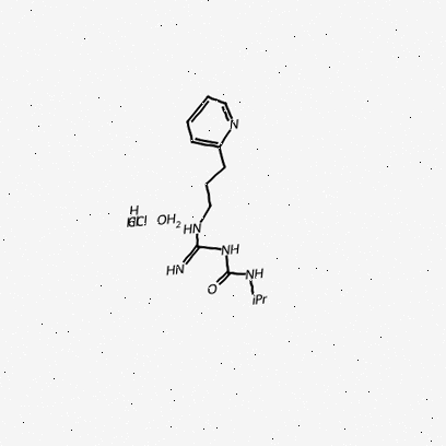 CC(C)NC(=O)NC(=N)NCCCc1ccccn1.Cl.Cl.O